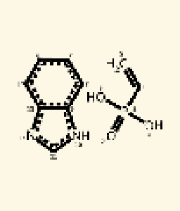 C=CP(=O)(O)O.c1ccc2[nH]cnc2c1